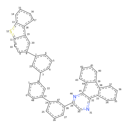 c1cc(-c2cccc(-c3ccc4sc5ccccc5c4c3)c2)cc(-c2cccc(-c3cnc4c5ccccc5c5ccccc5c4n3)c2)c1